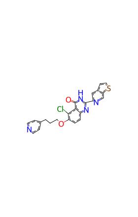 O=c1[nH]c(-c2cc3ccsc3cn2)nc2ccc(OCCCc3ccncc3)c(Cl)c12